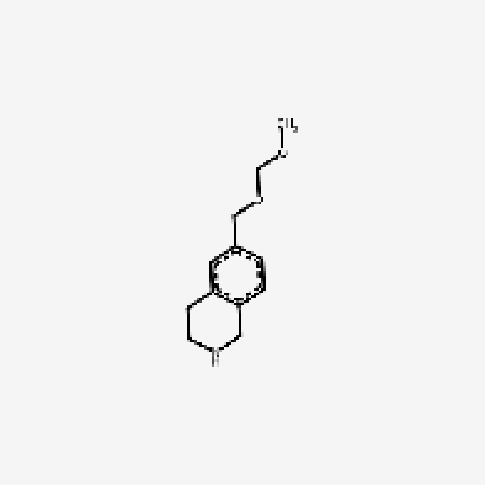 COCOCc1ccc2c(c1)CCNC2